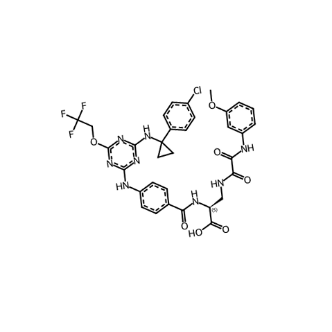 COc1cccc(NC(=O)C(=O)NC[C@H](NC(=O)c2ccc(Nc3nc(NC4(c5ccc(Cl)cc5)CC4)nc(OCC(F)(F)F)n3)cc2)C(=O)O)c1